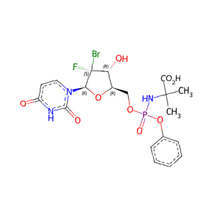 CC(C)(NP(=O)(OC[C@H]1O[C@@H](n2ccc(=O)[nH]c2=O)[C@@](F)(Br)[C@@H]1O)Oc1ccccc1)C(=O)O